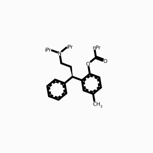 CCCC(=O)Oc1ccc(C)cc1[C@H](CCN(C(C)C)C(C)C)c1ccccc1